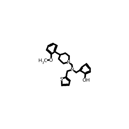 COc1ccccc1C1CCN(CN(Cc2cccs2)Cc2ccccc2O)CC1